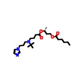 CCCCCC(=O)OCC[C@@H](C)OC(=O)CCCN(CCCn1ccnc1)C(C)(C)C